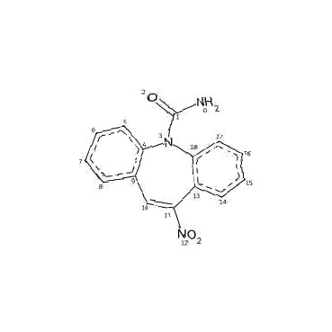 NC(=O)N1c2ccccc2C=C([N+](=O)[O-])c2ccccc21